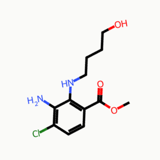 COC(=O)c1ccc(Cl)c(N)c1NCCCCO